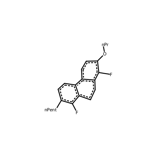 CCCCCc1ccc2c(ccc3c(F)c(OCCC)ccc32)c1F